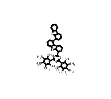 Bc1c(B)c(B)c(-c2nc(-c3c(B)c(B)c(B)c(B)c3B)nc(-c3cccc4c3oc3cccc(-c5cccc6c5oc5ccccc56)c34)n2)c(B)c1B